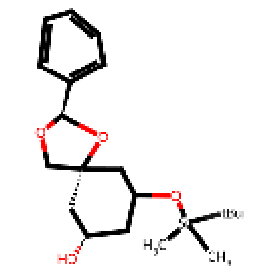 CC(C)(C)[Si](C)(C)OC1C[C@H](O)C[C@@]2(CO[C@@H](c3ccccc3)O2)C1